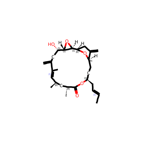 C=C1C[C@H](O)[C@@H]2O[C@H]2[C@H]2CC(=C)[C@@H](CC[C@@H](C/C=C/C)OC(=O)[C@H](C)C[C@@H](C)/C=C/1C)O2